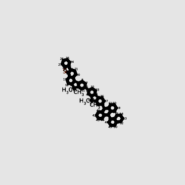 CC1(C)c2cc(-c3ccc4c(c3)C(C)(C)c3ccc5c(ccc6c7ccccc7sc56)c3-4)ccc2-c2ccc(-c3c4ccccc4c(-c4cccc5ccccc45)c4ccccc34)cc21